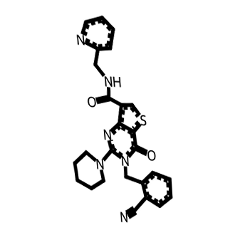 N#Cc1ccccc1Cn1c(N2CCCCC2)nc2c(C(=O)NCc3ccccn3)csc2c1=O